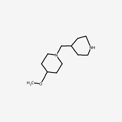 COC1CCN(CC2CCNCC2)CC1